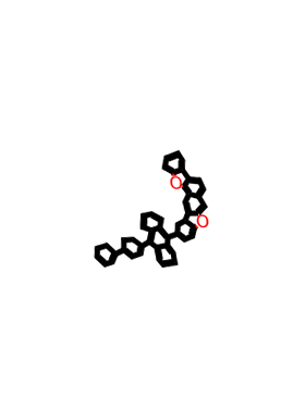 C1=CCCC(C2=CC=C(c3c4ccccc4c(C4=CC=C5Oc6cc7ccc8c9ccccc9oc8c7cc6C5C4)c4ccccc34)CC2)=C1